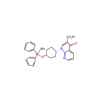 CCOC(=O)c1cn([C@H]2CC[C@H](O[Si](c3ccccc3)(c3ccccc3)C(C)(C)C)CC2)c2ncccc2c1=O